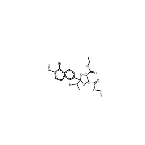 CCOC(=O)[C@@H]1OC(c2ccc3c(Br)c(OC)ccc3c2)(C(C)Br)O[C@H]1C(=O)OCC